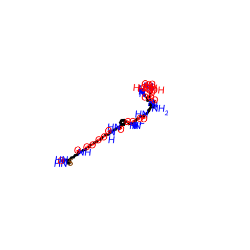 [N-]=[N+]=NCO[C@@H]1C[C@H](n2cc(C#CCNC(=O)COCCOC(COc3cccc(C(=O)NCCNC(=O)CCOCCOCCOCCOCCNC(=O)CCCCC4SCC5NC(=O)NC54)c3)N=[N+]=[N-])c(N)nc2=O)O[C@@H]1COP(=O)(O)OP(=O)(O)OP(=O)(O)O